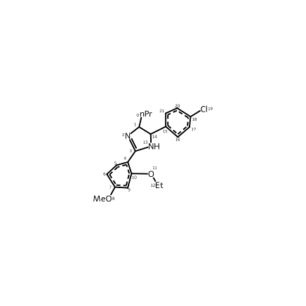 CCCC1N=C(c2ccc(OC)cc2OCC)NC1c1ccc(Cl)cc1